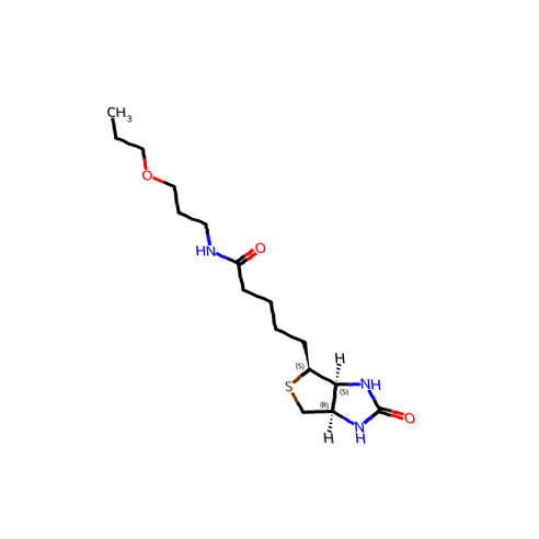 CCCOCCCNC(=O)CCCC[C@@H]1SC[C@@H]2NC(=O)N[C@@H]21